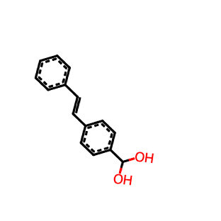 OC(O)c1ccc(C=Cc2ccccc2)cc1